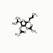 C=CCSC1O[C@H](C(C)O)[C@@H](OC(C)=O)[C@H]1OC(C)=O